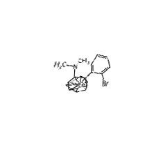 CN(C)[C]12[CH]3[CH]4[CH]5[C]1(c1ccccc1Br)[Fe]45321678[CH]2[CH]1[CH]6[CH]7[CH]28